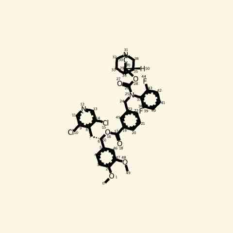 COc1ccc([C@H](Cc2c(Cl)cncc2Cl)OC(=O)c2cccc(CN(C(=O)O[C@H]3CN4CCC3CC4)c3c(F)cccc3F)c2)cc1OC